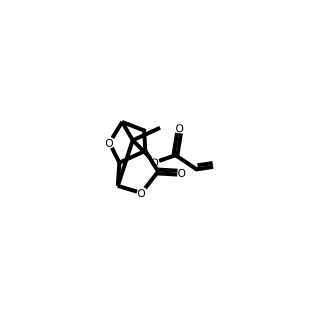 C=CC(=O)OC1(C)C2CC3C(=O)OC1C3O2